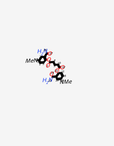 CNc1ccc(OC(=O)CCCC(=O)Oc2ccc(NC)cc2C(N)=O)c(C(N)=O)c1